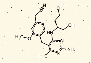 CCC[C@@H](CO)Nc1nc(N)nc(C)c1Cc1ccc(CC#N)cc1OC